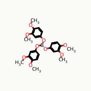 COc1ccc(OB(Oc2ccc(OC)c(OC)c2)Oc2ccc(OC)c(OC)c2)cc1OC